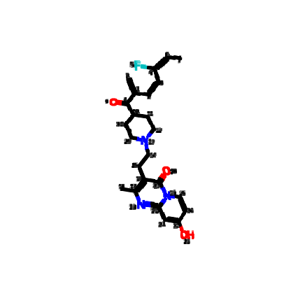 C=C(/C=C\C(F)=C/C)C(=O)C1CCN(CCc2c(C)nc3cc(O)ccn3c2=O)CC1